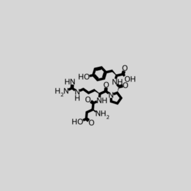 N=C(N)NCCC[C@H](NC(=O)[C@@H](N)CC(=O)O)C(=O)N1CCC[C@H]1C(=O)N[C@@H](Cc1ccc(O)cc1)C(=O)O